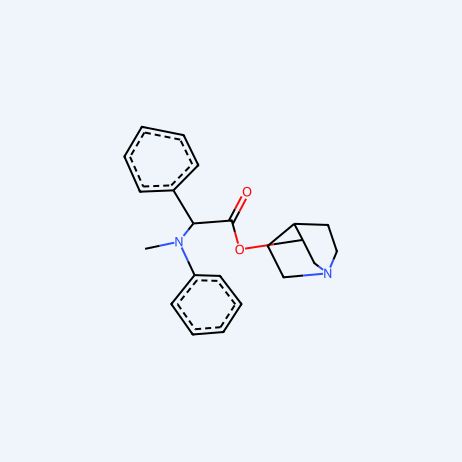 CN(c1ccccc1)C(C(=O)OC1CN2CCC1CC2)c1ccccc1